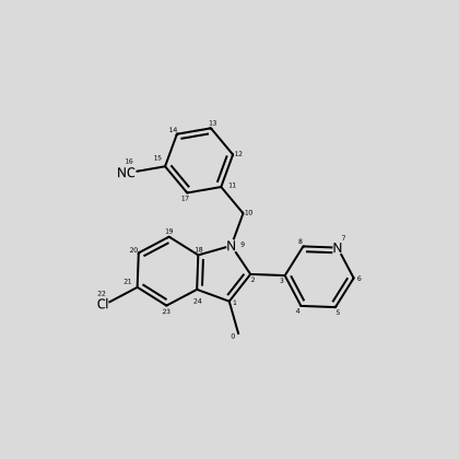 Cc1c(-c2cccnc2)n(Cc2cccc(C#N)c2)c2ccc(Cl)cc12